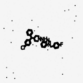 Fc1ccc(Cn2cnc3c(NN4CCC(C(c5ccccc5)c5ccc(Cl)cc5)CC4)cccc32)cc1